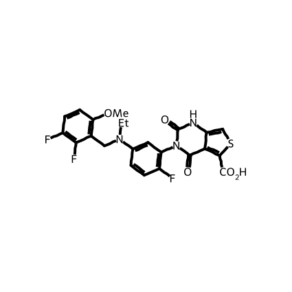 CCN(Cc1c(OC)ccc(F)c1F)c1ccc(F)c(-n2c(=O)[nH]c3csc(C(=O)O)c3c2=O)c1